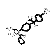 COc1ccc(C(O)(c2ccc(N(CC(C)C)S(=O)(=O)c3ccccc3)cc2)C(F)(F)F)cc1